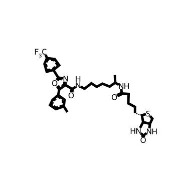 Cc1cccc(-c2oc(-c3ccc(C(F)(F)F)cc3)nc2C(=O)NCCCCCC(C)NC(=O)CCCC[C@@H]2SCC3NC(=O)NC32)c1